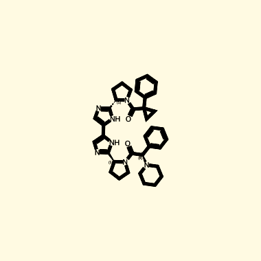 O=C([C@@H](c1ccccc1)N1CCCCC1)N1CCC[C@H]1c1ncc(-c2cnc([C@@H]3CCCN3C(=O)C3(c4ccccc4)CC3)[nH]2)[nH]1